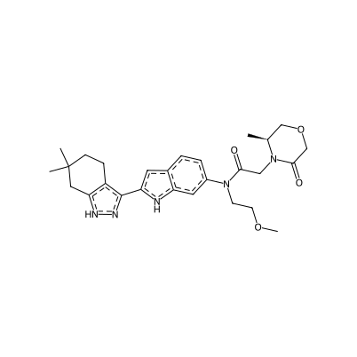 COCCN(C(=O)CN1C(=O)COC[C@@H]1C)c1ccc2cc(-c3n[nH]c4c3CCC(C)(C)C4)[nH]c2c1